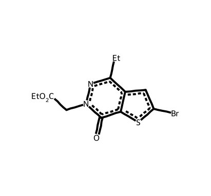 CCOC(=O)Cn1nc(CC)c2cc(Br)sc2c1=O